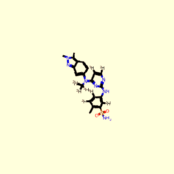 [2H]c1nc(Nc2c([2H])c([2H])c(C)c(S(N)(=O)=O)c2[2H])nc(N(c2ccc3c(C)n(C)nc3c2)C([2H])([2H])[2H])c1[2H]